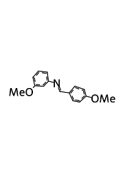 COc1ccc(/C=N/c2cccc(OC)c2)cc1